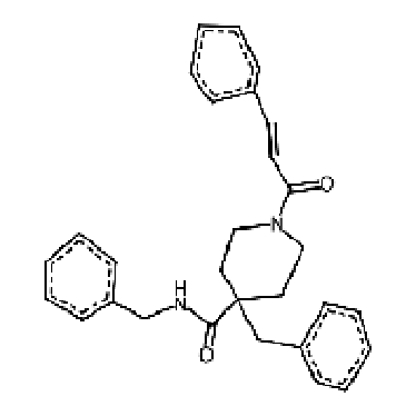 O=C(C=Cc1ccccc1)N1CCC(Cc2ccccc2)(C(=O)NCc2ccccc2)CC1